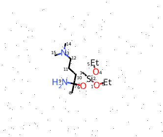 CCO[Si](C)(OCC)OC(C)(N)CCCN(C)C